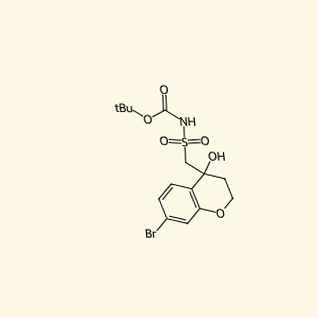 CC(C)(C)OC(=O)NS(=O)(=O)CC1(O)CCOc2cc(Br)ccc21